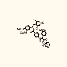 COc1cccc(C(Nc2ccc(C(=O)OC(Cc3c(Cl)c[n+]([O-])cc3Cl)c3ccc(OC)c(OC)c3)cc2)C(=O)O[C@H]2CN3CCC2CC3)c1